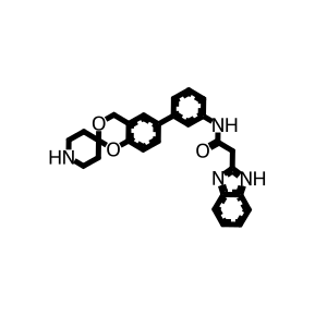 O=C(Cc1nc2ccccc2[nH]1)Nc1cccc(-c2ccc3c(c2)COC2(CCNCC2)O3)c1